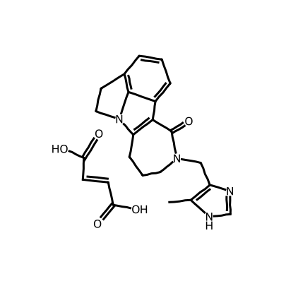 Cc1[nH]cnc1CN1CCCc2c(c3cccc4c3n2CC4)C1=O.O=C(O)C=CC(=O)O